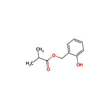 CC(C)C(=O)OCc1ccccc1O